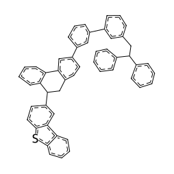 c1ccc(C(Cc2cccc(-c3cccc(-c4ccc5c(c4)-c4ccccc4C(c4ccc6sc7ccccc7c6c4)C5)c3)c2)c2ccccc2)cc1